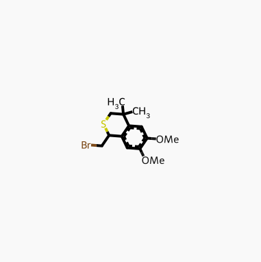 COc1cc2c(cc1OC)C(C)(C)CSC2CBr